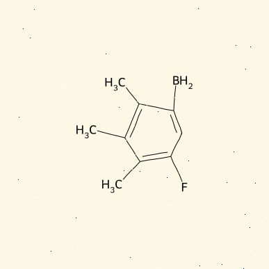 Bc1cc(F)c(C)c(C)c1C